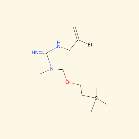 C=C(CC)CNC(=N)N(C)COCC[Si](C)(C)C